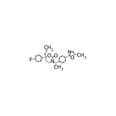 C=CC[C@]1(c2ccc(F)cc2)CCN([C@@H](C)c2ccc(-c3ncc(C)o3)cc2)C(=O)O1